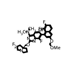 CCc1c(F)ccc2cc(OCOC)cc(-c3c(O)cc4c(N(C)C)nc(OC[C@@]56CCCN5C[C@H](F)C6)nc4c3F)c12